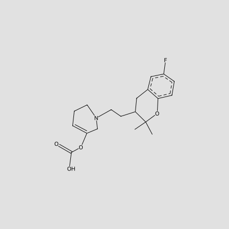 CC1(C)Oc2ccc(F)cc2CC1CCN1CCC=C(OC(=O)O)C1